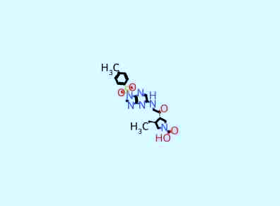 CC[C@@H]1CN(C(=O)O)C[C@H]1C(=O)CNc1cnc2c(ncn2S(=O)(=O)c2ccc(C)cc2)n1